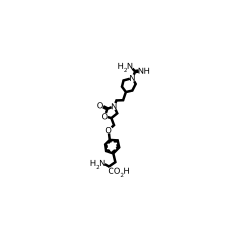 N=C(N)N1CCC(CCN2CC(COc3ccc(CC(N)C(=O)O)cc3)OC2=O)CC1